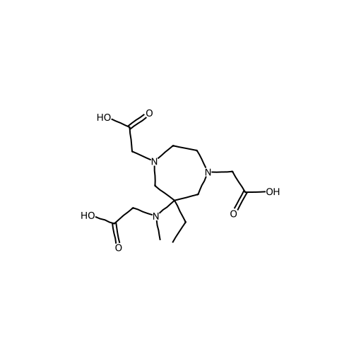 CCC1(N(C)CC(=O)O)CN(CC(=O)O)CCN(CC(=O)O)C1